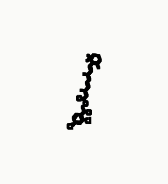 CC1=C(/C=C/C(C)=C/C=C/C(C)=C/C(=O)OCC(=O)c2ccc(Cl)cc2Cl)C(C)(C)CCC1